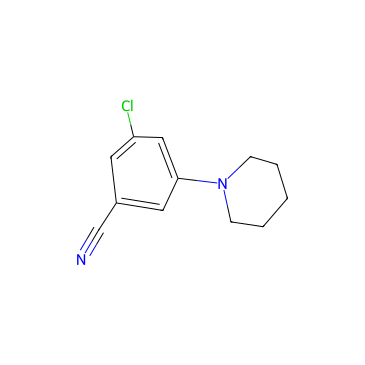 N#Cc1cc(Cl)cc(N2CCCCC2)c1